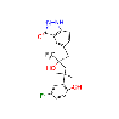 CC(C)(CC(O)(Cc1ccc2c(c1)C(=O)[N]N2)C(F)(F)F)c1cc(F)ccc1O